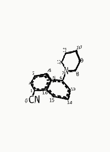 N#Cc1cccc2c(N3CCCCC3)cccc12